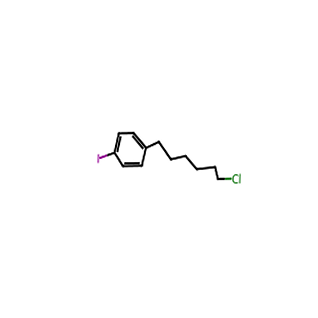 ClCCCCCCc1ccc(I)cc1